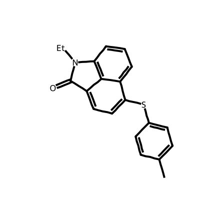 CCN1C(=O)c2ccc(Sc3ccc(C)cc3)c3cccc1c23